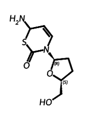 NC1C=CN([C@H]2CC[C@@H](CO)O2)C(=O)S1